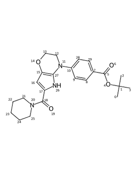 CC(C)(C)OC(=O)c1ccc(N2CCOc3cc(C(=O)N4CCCCC4)[nH]c32)cc1